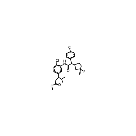 COC(=O)CC(c1ccc(Cl)c(NC(=O)C(c2ccc(Cl)cc2)C2CCC(F)(F)C2)c1)C(C)C